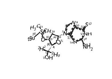 [2H]C([2H])(O)[C@H]1O[C@@H](n2cnc3c(=S)[nH]c(N)nc32)C[C@@H]1O[Si](C)(C)C(C)(C)C